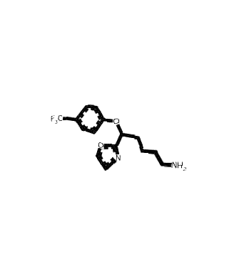 NCCCCC(Oc1ccc(C(F)(F)F)cc1)c1ncco1